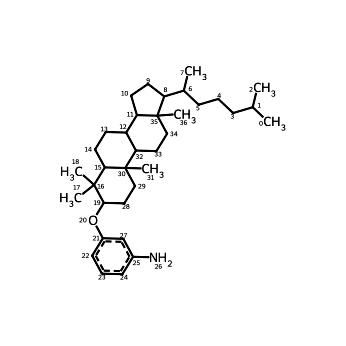 CC(C)CCCC(C)C1CCC2C3CCC4C(C)(C)C(Oc5cccc(N)c5)CCC4(C)C3CCC12C